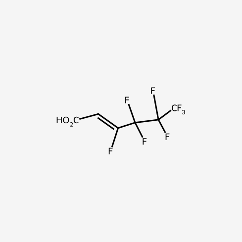 O=C(O)/C=C(\F)C(F)(F)C(F)(F)C(F)(F)F